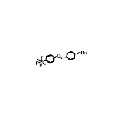 CCCC[C@H]1CC[C@H](COc2ccc(S(F)(F)(F)(F)F)cc2)CC1